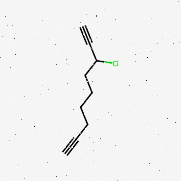 C#CCCCCC(Cl)C#C